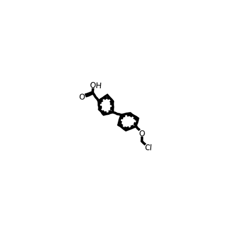 O=C(O)c1ccc(-c2ccc(OCCl)cc2)cc1